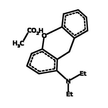 CC(=O)O.CCN(CC)c1cccc2c1Cc1ccccc1O2